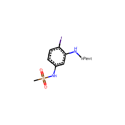 CCCCCNc1cc(NS(C)(=O)=O)ccc1I